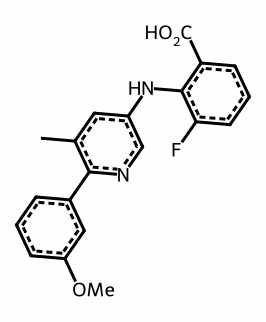 COc1cccc(-c2ncc(Nc3c(F)cccc3C(=O)O)cc2C)c1